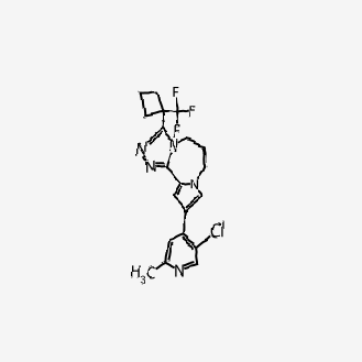 Cc1cc(-c2cc3n(c2)CCCn2c-3nnc2C2(C(F)(F)F)CCC2)c(Cl)cn1